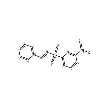 O=[N+]([O-])c1cccc(S(=O)(=O)/C=C/c2ccccc2)c1